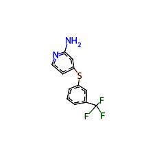 Nc1cc(Sc2cccc(C(F)(F)F)c2)ccn1